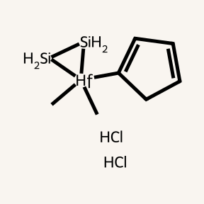 Cl.Cl.[CH3][Hf]1([CH3])([C]2=CC=CC2)[SiH2][SiH2]1